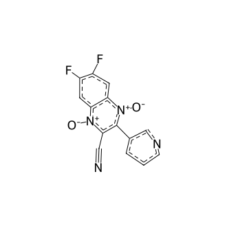 N#Cc1c(-c2cccnc2)[n+]([O-])c2cc(F)c(F)cc2[n+]1[O-]